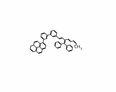 C/C=C\C=C\C(/C=C/c1cccc(-c2cccc(-c3ccc4ccc5c6c4c3C=CC6CC=C5)c2)c1)=C(c1ccccc1)c1ccccc1